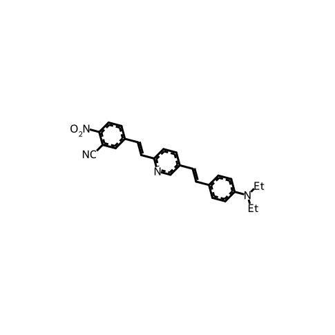 CCN(CC)c1ccc(C=Cc2ccc(C=Cc3ccc([N+](=O)[O-])c(C#N)c3)nc2)cc1